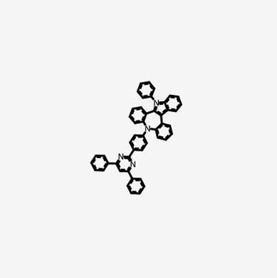 c1ccc(-c2cc(-c3ccccc3)nc(-c3ccc(N4c5ccccc5-c5c(n(-c6ccccc6)c6ccccc56)-c5ccccc54)cc3)n2)cc1